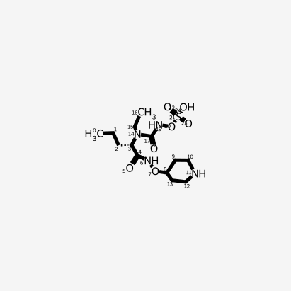 CCC[C@@H](C(=O)NOC1CCNCC1)N(CC)C(=O)NOS(=O)(=O)O